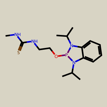 CNC(=S)NCCOP1N(C(C)C)c2ccccc2N1C(C)C